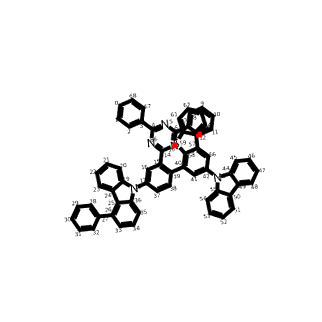 c1ccc(-c2nc(-c3ccccc3)nc(-c3cc(-n4c5ccccc5c5c(-c6ccccc6)cccc54)ccc3-c3cc(-n4c5ccccc5c5ccccc54)cc4c3sc3ccccc34)n2)cc1